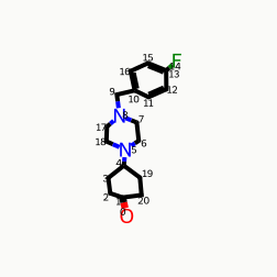 O=C1CCC(N2CCN(Cc3ccc(F)cc3)CC2)CC1